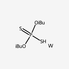 CC(C)COP(=S)(S)OCC(C)C.[W]